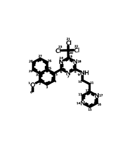 COc1ccc(-c2nc(NCCc3cnccn3)nc(C(Cl)(Cl)Cl)n2)c2ccccc12